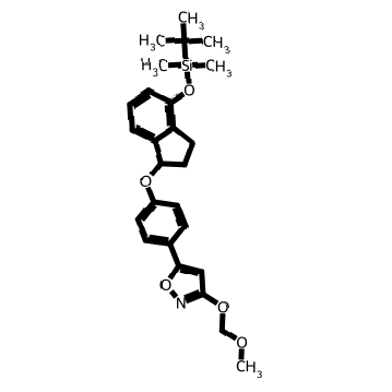 COCOc1cc(-c2ccc(OC3CCc4c(O[Si](C)(C)C(C)(C)C)cccc43)cc2)on1